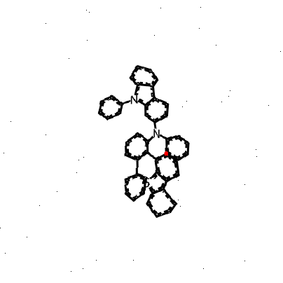 c1ccc(-c2cccc(N(c3ccccc3)c3ccc4c5ccccc5n(-c5ccccc5)c4c3)c2-c2cccc3c2sc2ccccc23)cc1